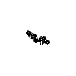 O=C(c1ccccc1)c1ccccc1NC(Cc1ccc(OCCN(Cc2ccccc2)C(=O)c2ccccn2)cc1)C(=O)O